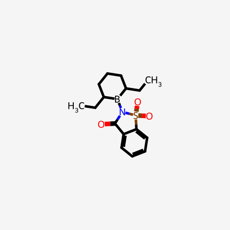 CCC1CCCC(CC)B1N1C(=O)c2ccccc2S1(=O)=O